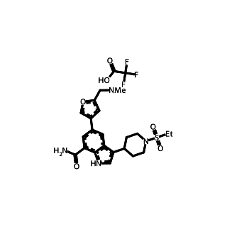 CCS(=O)(=O)N1CCC(c2c[nH]c3c(C(N)=O)cc(-c4coc(CNC)c4)cc23)CC1.O=C(O)C(F)(F)F